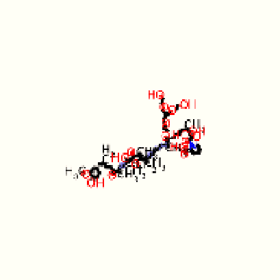 CO[C@@H]1C[C@H](C[C@@H](C)CCC(=O)[C@H](C)/C=C(\C)[C@@H](O)[C@@H](OC)C(=O)[C@H](C)C[C@H](C)/C=C/C=C/C=C(\C)[C@H](CCCC[C@@H](C)C(O)(O)C(=O)C(=O)N2CCCC[C@H]2C(=O)O)OCCOCC(COCCO)COCCO)CC[C@H]1O